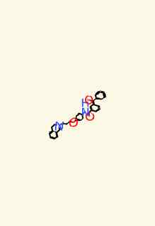 O=C(Nc1ccc(OCCCN2CCc3ccccc3C2)cc1)c1cccc(C(=O)c2ccccc2)c1